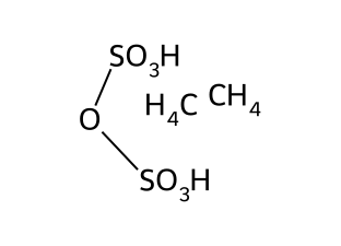 C.C.O=S(=O)(O)OS(=O)(=O)O